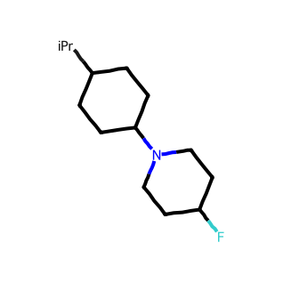 CC(C)C1CCC(N2CCC(F)CC2)CC1